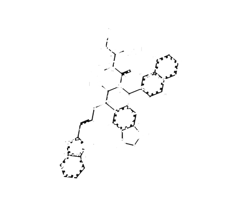 C[C@H]([C@H](CC=Cc1nc2ccccc2o1)c1ccc2c(c1)OCO2)N(Cc1ccc2ccccc2c1)C(=O)[C@@H](C(=O)O)[C@@H](CO)C(=O)O